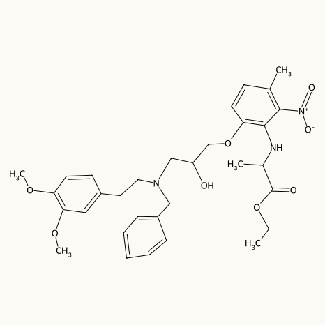 CCOC(=O)C(C)Nc1c(OCC(O)CN(CCc2ccc(OC)c(OC)c2)Cc2ccccc2)ccc(C)c1[N+](=O)[O-]